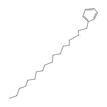 CCCCCCCCCCCCCCC[CH]CCc1ccccc1